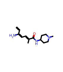 C=C/C(N)=C\C=C(/C)C(=O)NC1CCN(C)CC1